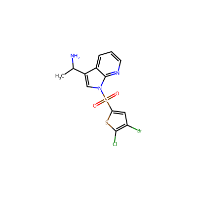 CC(N)c1cn(S(=O)(=O)c2cc(Br)c(Cl)s2)c2ncccc12